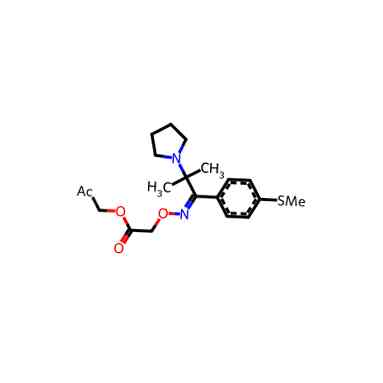 CSc1ccc(C(=NOCC(=O)OCC(C)=O)C(C)(C)N2CCCC2)cc1